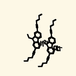 CCCCC#Cc1ccc2c(c1)C(CC)c1cc(C#CCCCC)ccc1-2.CCCCC#Cc1ccc2c(c1)[CH]([Hf+2])c1cc(C#CCCCC)ccc1-2.[Cl-].[Cl-]